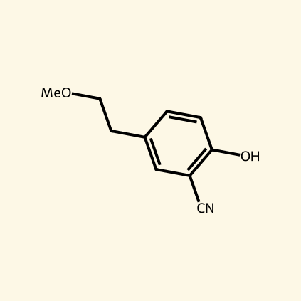 COCCc1ccc(O)c(C#N)c1